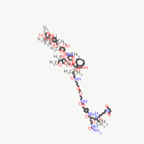 COC(=O)CC1=C2/C(=C\CSSC(C)(C)CCC(=O)NCCCCOCCOCCCNC(=O)OCc3ccc(NC(=O)[C@H](CCCNC(N)=O)CC(=O)[C@@H](NC(=O)CCCCCN4C(=O)C=CC4=O)C(C)C)cc3)[C@](O)(C#C/C=C\C#C[C@@H]2OC2OC(C)C(NOC3CC(O)C(SC(=O)c4c(C)c(I)c(OC5OC(C)C(O)C(OC)C5O)c(C)c4OC)C(C)O3)C(O)C2OC2CC(C)C(CC(C)=O)CO2)CC1=O